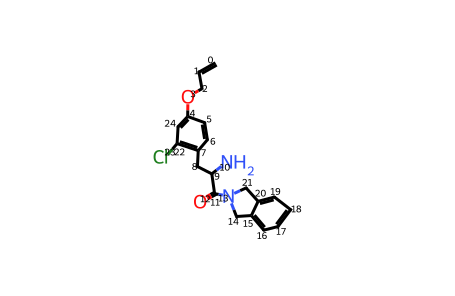 C=CCOc1ccc(CC(N)C(=O)N2Cc3ccccc3C2)c(Cl)c1